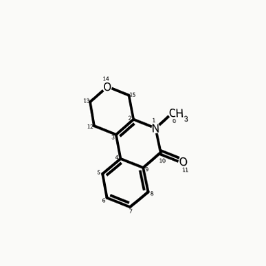 Cn1c2c(c3ccccc3c1=O)CCOC2